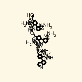 Nc1nc2c(-c3ccc(CCOn4nnc(-c5c(-c6cccc7sc(N)nc67)ccc(C(F)CO)c5S(N)(=O)=O)n4)c(S(N)(=O)=O)c3-c3nnn(OCCc4ccc(-c5cccc6ncccc56)c(-c5nn[nH]n5)c4S(N)(=O)=O)n3)cccc2s1